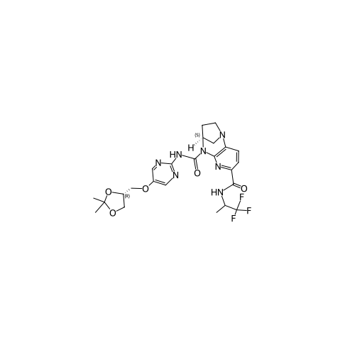 CC(NC(=O)c1ccc2c(n1)N(C(=O)Nc1ncc(OC[C@@H]3COC(C)(C)O3)cn1)[C@H]1CCN2C1)C(F)(F)F